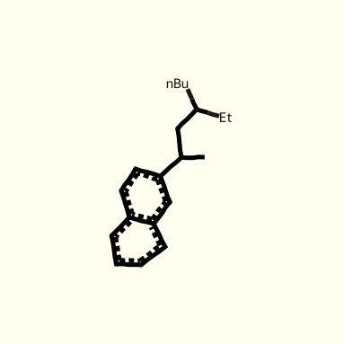 CCCCC(CC)CC(C)c1ccc2ccccc2c1